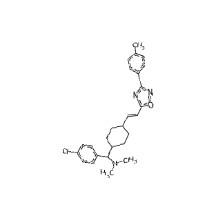 Cc1ccc(-c2noc(C=CC3CCC(C(c4ccc(Cl)cc4)N(C)C)CC3)n2)cc1